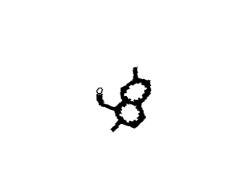 Cc1ccc2ccc(C)c(C=O)c2c1